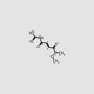 CON(C)C(=O)/C=C/C(=O)NC(=O)O